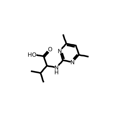 Cc1cc(C)nc(NC(C(=O)O)C(C)C)n1